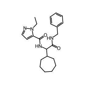 CCn1nccc1C(=O)NC(C(=O)NCc1ccccc1)C1CCCCCC1